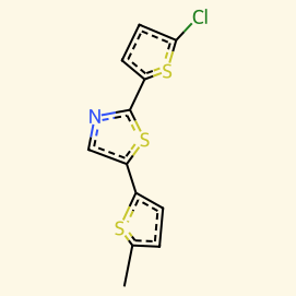 Cc1ccc(-c2cnc(-c3ccc(Cl)s3)s2)s1